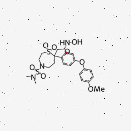 COc1ccc(Oc2ccc(C3(CC(=O)NO)CCN(S(=O)(=O)N(C)C)CCS3(=O)=O)cc2)cc1